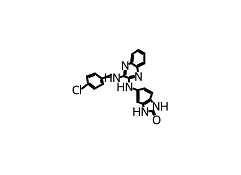 O=c1[nH]c2ccc(Nc3nc4ccccc4nc3NCc3ccc(Cl)cc3)cc2[nH]1